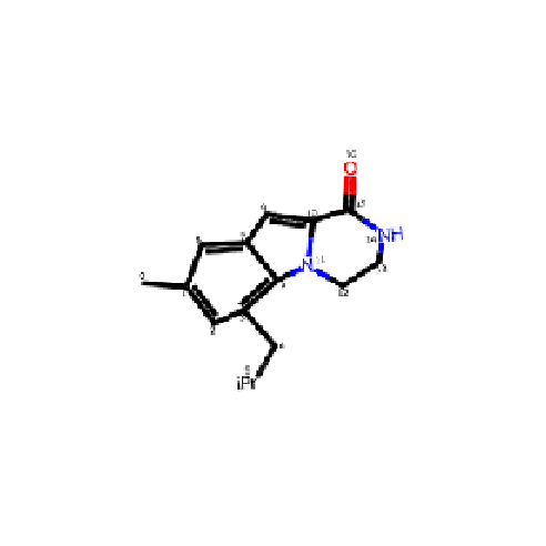 Cc1cc(CC(C)C)c2c(c1)cc1n2CCNC1=O